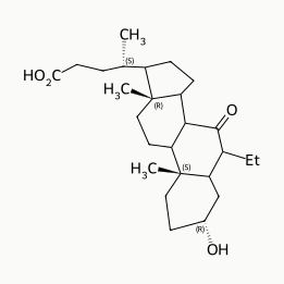 CCC1C(=O)C2C(CC[C@@]3(C)C2CCC3[C@@H](C)CCC(=O)O)[C@@]2(C)CC[C@@H](O)CC12